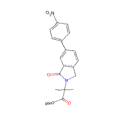 COC(=O)C(C)(C)N1Cc2ccc(-c3ccc([N+](=O)[O-])cc3)cc2C1=O